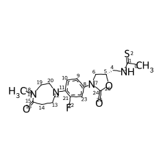 CC(=S)NC[C@H]1CN(c2ccc(N3CCC(=O)N(C)CC3)c(F)c2)C(=O)O1